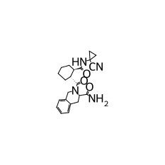 N#CC1(NC(=O)[C@@H]2CCCC[C@H]2C(=O)N2Cc3ccccc3CC2C(N)=O)CC1